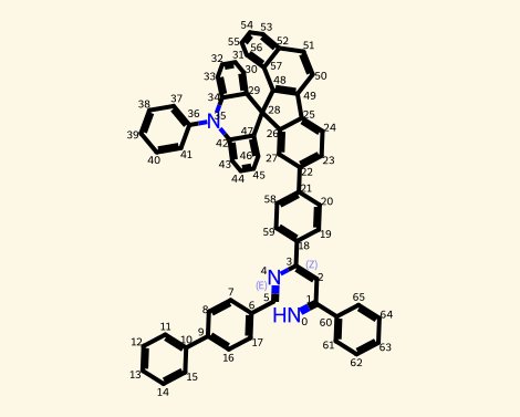 N=C(/C=C(\N=C\c1ccc(-c2ccccc2)cc1)c1ccc(-c2ccc3c(c2)C2(c4ccccc4N(c4ccccc4)c4ccccc42)c2c-3ccc3ccccc23)cc1)c1ccccc1